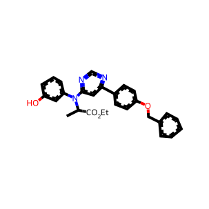 CCOC(=O)C(C)N(c1cccc(O)c1)c1cc(-c2ccc(OCc3ccccc3)cc2)ncn1